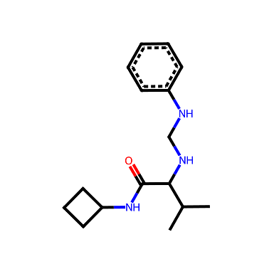 CC(C)C(NCNc1ccccc1)C(=O)NC1CCC1